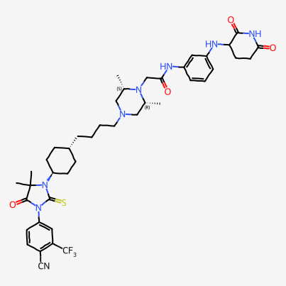 C[C@@H]1CN(CCCC[C@H]2CC[C@H](N3C(=S)N(c4ccc(C#N)c(C(F)(F)F)c4)C(=O)C3(C)C)CC2)C[C@H](C)N1CC(=O)Nc1cccc(NC2CCC(=O)NC2=O)c1